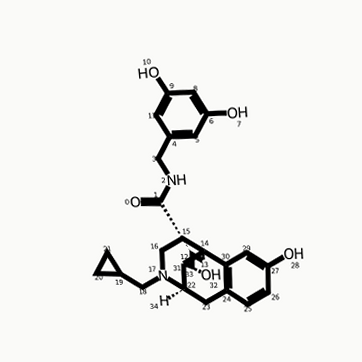 O=C(NCc1cc(O)cc(O)c1)[C@@H]1C[C@]23CCN(CC4CC4)[C@H](Cc4ccc(O)cc42)[C@]3(O)C1